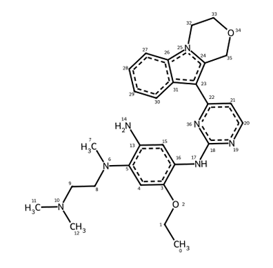 CCOc1cc(N(C)CCN(C)C)c(N)cc1Nc1nccc(-c2c3n(c4ccccc24)CCOC3)n1